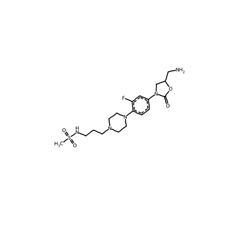 CS(=O)(=O)NCCCN1CCN(c2ccc(N3CC(CN)OC3=O)cc2F)CC1